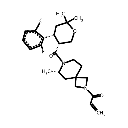 C=CC(=O)N1CC2(CCN(C(=O)[C@H]3COC(C)(C)C[C@H]3c3c(F)cccc3Cl)[C@@H](C)C2)C1